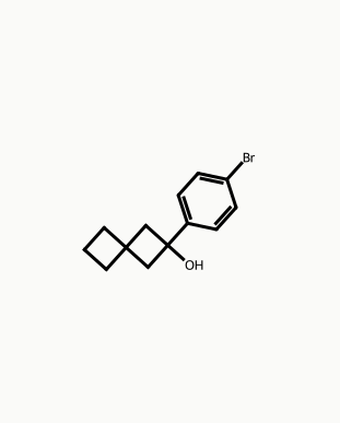 OC1(c2ccc(Br)cc2)CC2(CCC2)C1